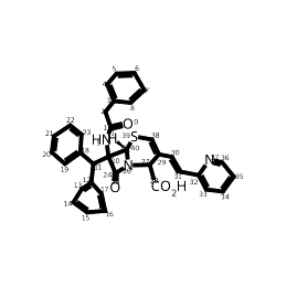 O=C(Cc1ccccc1)NC1(C(c2ccccc2)c2ccccc2)C(=O)N2C(C(=O)O)C(C=Cc3ccccn3)=CS[C@H]21